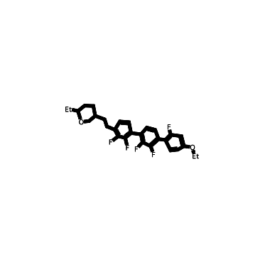 CCOc1ccc(-c2ccc(-c3ccc(CCC4CCC(CC)OC4)c(F)c3F)c(F)c2F)c(F)c1